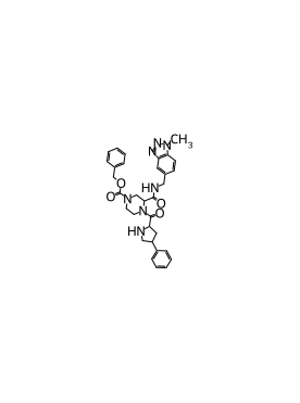 Cn1nnc2cc(CNC(=O)C3CN(C(=O)OCc4ccccc4)CCN3C(=O)C3CC(c4ccccc4)CN3)ccc21